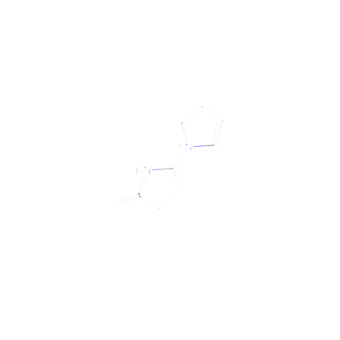 O=C1CSC(n2cccc2)N1